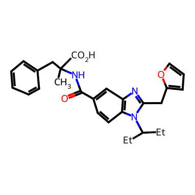 CCC(CC)n1c(Cc2ccco2)nc2cc(C(=O)NC(C)(Cc3ccccc3)C(=O)O)ccc21